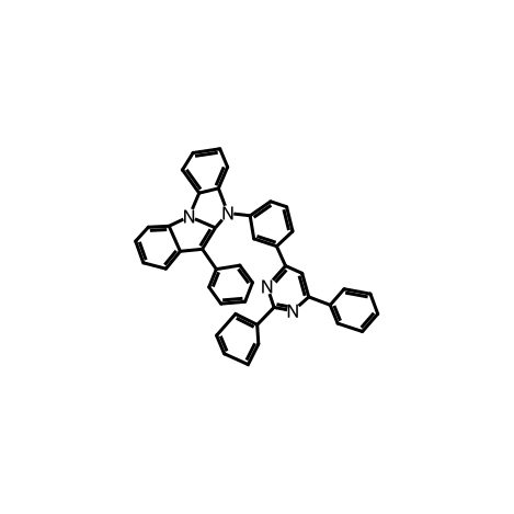 c1ccc(-c2cc(-c3cccc(-n4c5ccccc5n5c6ccccc6c(-c6ccccc6)c45)c3)nc(-c3ccccc3)n2)cc1